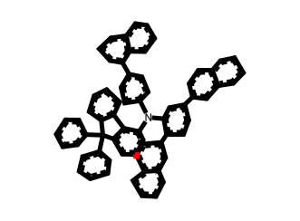 c1ccc(C2(c3ccccc3)c3ccccc3-c3c(N(c4ccc(-c5cccc6ccccc56)cc4)c4cc(-c5ccc6ccccc6c5)ccc4-c4ccc5ccccc5c4)cccc32)cc1